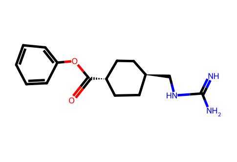 N=C(N)NC[C@H]1CC[C@H](C(=O)Oc2ccccc2)CC1